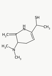 C=C1NC(C(C)S)=CCC1N(C)C